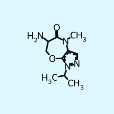 CC(C)n1ncc2c1OCC(N)C(=O)N2C